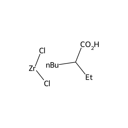 CCCCC(CC)C(=O)O.[Cl][Zr][Cl]